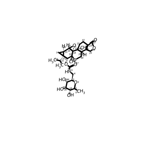 CC1O[C@H](CNC(=O)O[C@@H]2[C@@]3(C(C)C)C[C@H]3[C@@H]3O[C@@]34[C@@]3(C)CCC5=C(COC5=O)[C@@H]3CO[C@]24C)[C@@H](O)[C@H](O)[C@H]1O